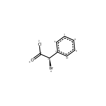 O=C(Cl)[C@H](Br)c1ccccc1